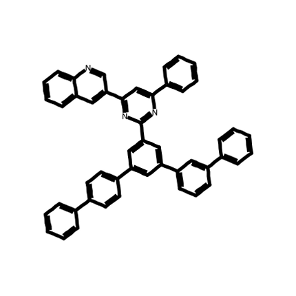 c1ccc(-c2ccc(-c3cc(-c4cccc(-c5ccccc5)c4)cc(-c4nc(-c5ccccc5)cc(-c5cnc6ccccc6c5)n4)c3)cc2)cc1